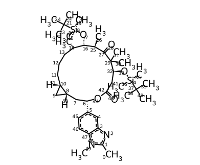 Cc1nc2cc([C@@H]3C[C@@H]4C[C@@H]4CCC[C@H](C)[C@H](O[Si](C)(C)C(C)(C)C)[C@@H](C)C(=O)C(C)(C)[C@@H](O[Si](C)(C)C(C)(C)C)CC(=O)O3)ccc2n1C